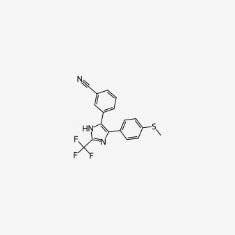 CSc1ccc(-c2nc(C(F)(F)F)[nH]c2-c2cccc(C#N)c2)cc1